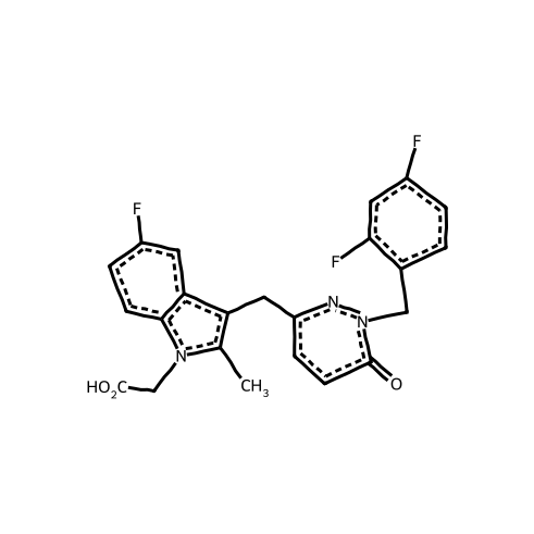 Cc1c(Cc2ccc(=O)n(Cc3ccc(F)cc3F)n2)c2cc(F)ccc2n1CC(=O)O